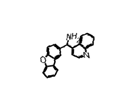 NC(c1ccc2oc3ccccc3c2c1)c1ccnc2ccccc12